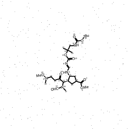 COC(=O)C1C[C@H](NC=NC(=O)OC(C)(C)CNC(=O)OC(C)(C)C)[C@H](C(C(=O)CCN(C)OC)N(C)C=O)C1